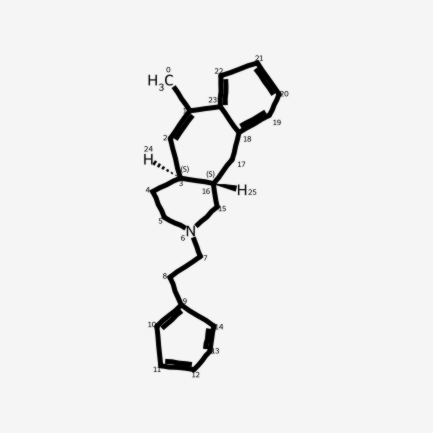 CC1=C[C@@H]2CCN(CCc3ccccc3)C[C@H]2Cc2ccccc21